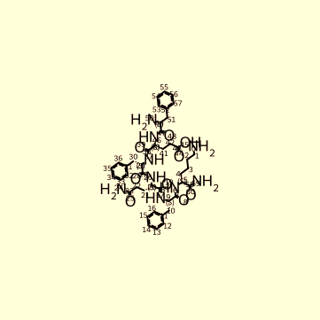 NCCCC[C@H](NC(=O)[C@H](Cc1ccccc1)NC(=O)[C@H](CCC(N)=O)NC(=O)[C@H](Cc1ccccc1)NC(=O)[C@H](CCC(=O)O)NC(=O)[C@@H](N)Cc1ccccc1)C(N)=O